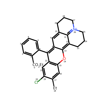 CCOC(=O)c1ccccc1C1=c2cc3c4c(c2Oc2cc(CC)c(Cl)cc21)CCC[N+]=4CCC3